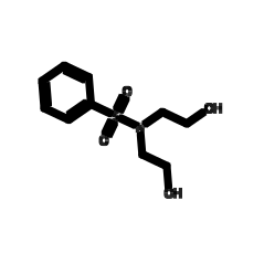 O=S(=O)(c1ccccc1)N(CCO)CCO